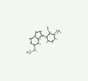 COc1cnc2cnn(-c3cccc(C)c3F)c2c1